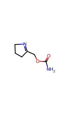 NC(=O)OCC1=NCCC1